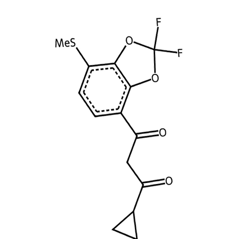 CSc1ccc(C(=O)CC(=O)C2CC2)c2c1OC(F)(F)O2